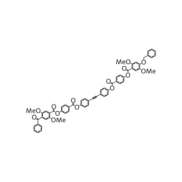 COc1cc(C(=O)Oc2ccc(C(=O)Oc3ccc(C#Cc4ccc(OC(=O)c5ccc(OC(=O)c6cc(OC)c(C(=O)c7ccccc7)cc6OC)cc5)cc4)cc3)cc2)c(OC)cc1OCc1ccccc1